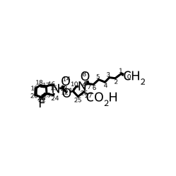 C=CCCCCCC(=O)N1C[C@H](OC(=O)N2Cc3cccc(F)c3C2)C[C@H]1C(=O)O